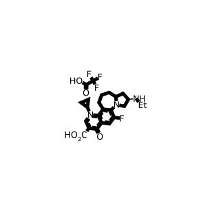 CCN[C@H]1CC2CCCc3c(c(F)cc4c(=O)c(C(=O)O)cn(C5CC5)c34)N2C1.O=C(O)C(F)(F)F